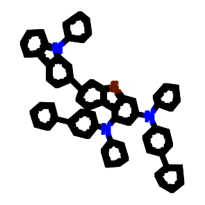 c1ccc(-c2ccc(N(c3ccccc3)c3cc(N(c4ccccc4)c4ccc(-c5ccccc5)cc4)c4c(c3)sc3cc(-c5ccc6c7ccccc7n(-c7ccccc7)c6c5)ccc34)cc2)cc1